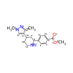 COC(=O)c1ccc(C2CC(c3cn(C)nc3C)CCN2)cc1